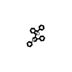 c1ccc(-c2cn(-c3ccccc3)cc2-c2oc(-c3ccccc3)c3ccccc23)cc1